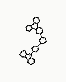 c1cc(-c2ccc(-n3c4ccccc4c4ccccc43)cc2)cc(-c2ccc3c4ccccc4c4ccccc4c3c2)c1